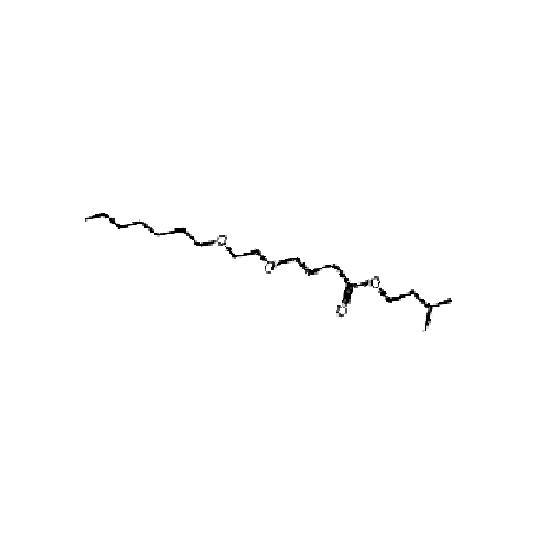 CCCCCCCOCCOCCCC(=O)OCCC(C)C